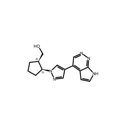 OC[C@@H]1CCC[C@@H]1n1cc(-c2cnnc3[nH]ccc23)cn1